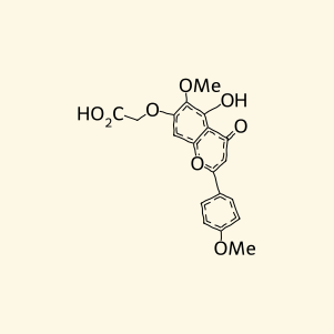 COc1ccc(-c2cc(=O)c3c(O)c(OC)c(OCC(=O)O)cc3o2)cc1